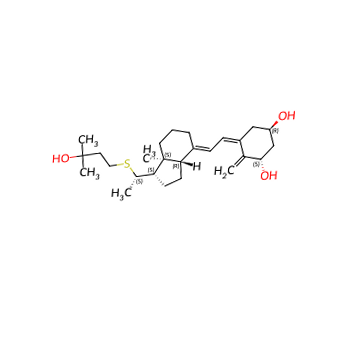 C=C1C(=CC=C2CCC[C@]3(C)[C@@H]([C@H](C)SCCC(C)(C)O)CC[C@@H]23)C[C@@H](O)C[C@@H]1O